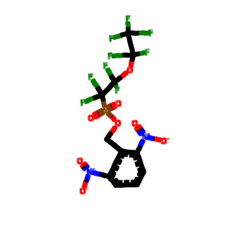 O=[N+]([O-])c1cccc([N+](=O)[O-])c1COS(=O)(=O)C(F)(F)C(F)(F)OC(F)(F)C(F)(F)F